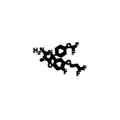 CN1C(=O)[C@](c2ccc(OC(F)F)cc2)(c2ccc(F)c(OCCC(F)F)c2)N=C1N